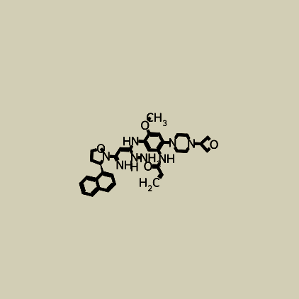 C=CC(=O)Nc1cc(N/C(=C/C(=N)N2OCC[C@@H]2c2cccc3ccccc23)NN)c(OC)cc1N1CCN(C2COC2)CC1